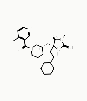 Cc1ccncc1C(=O)N1CCC[C@H](C[C@]2(CCC3CCCCC3)NC(=N)N(C)C2=O)C1